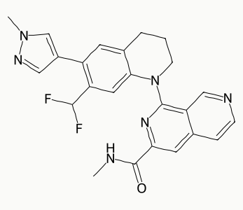 CNC(=O)c1cc2ccncc2c(N2CCCc3cc(-c4cnn(C)c4)c(C(F)F)cc32)n1